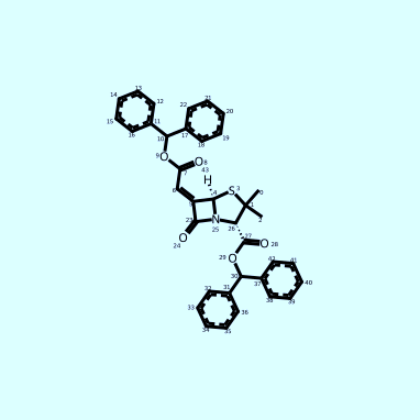 CC1(C)S[C@@H]2/C(=C\C(=O)OC(c3ccccc3)c3ccccc3)C(=O)N2[C@H]1C(=O)OC(c1ccccc1)c1ccccc1